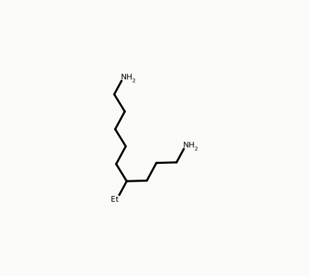 CCC(CCCN)CCCCCN